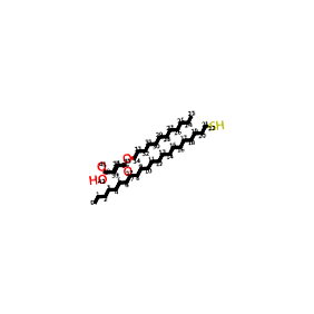 CCCCCCCCCCCCCCCCCCCCCCS.CCCCCCCCCCCCOC(=O)C=CC(=O)O